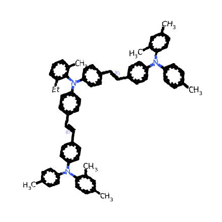 CCc1cccc(C)c1N(c1ccc(/C=C/c2ccc(N(c3ccc(C)cc3)c3ccc(C)cc3C)cc2)cc1)c1ccc(/C=C/c2ccc(N(c3ccc(C)cc3)c3ccc(C)cc3C)cc2)cc1